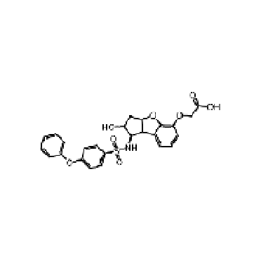 O=C(O)COc1cccc2c1OC1CC(O)C(NS(=O)(=O)c3ccc(Oc4ccccc4)cc3)C21